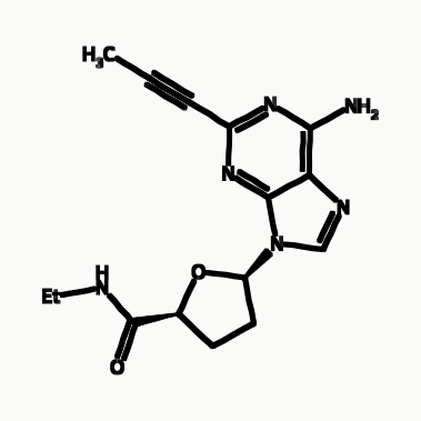 CC#Cc1nc(N)c2ncn([C@H]3CC[C@@H](C(=O)NCC)O3)c2n1